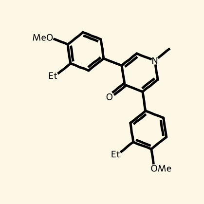 CCc1cc(-c2cn(C)cc(-c3ccc(OC)c(CC)c3)c2=O)ccc1OC